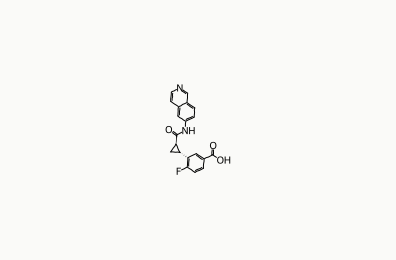 O=C(O)c1ccc(F)c([C@@H]2C[C@H]2C(=O)Nc2ccc3cnccc3c2)c1